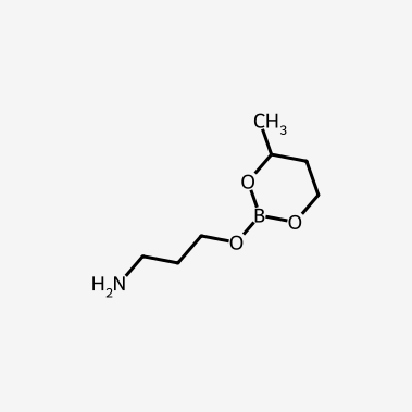 CC1CCOB(OCCCN)O1